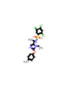 CCn1c(C(C)NS(=O)(=O)c2cc(Cl)c(Cl)cc2Cl)cnc1Oc1ccc(C)cc1